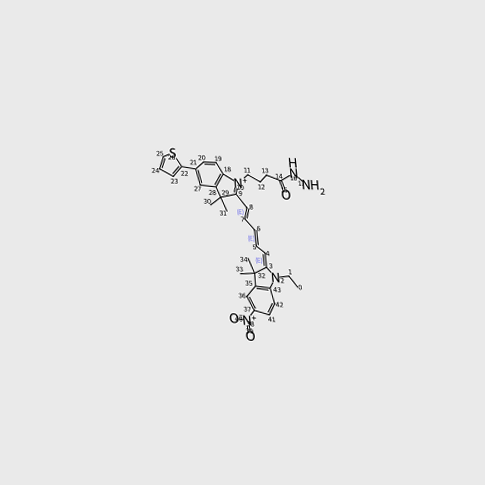 CCN1/C(=C/C=C/C=C/C2=[N+](CCCC(=O)NN)c3ccc(-c4cccs4)cc3C2(C)C)C(C)(C)c2cc([N+](=O)[O-])ccc21